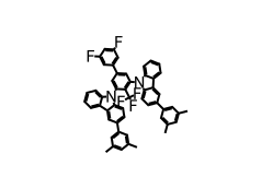 Cc1cc(C)cc(-c2ccc3c(c2)c2ccccc2n3-c2cc(-c3cc(F)cc(F)c3)cc(-n3c4ccccc4c4cc(-c5cc(C)cc(C)c5)ccc43)c2C(F)(F)F)c1